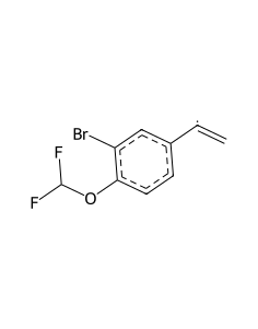 C=[C]c1ccc(OC(F)F)c(Br)c1